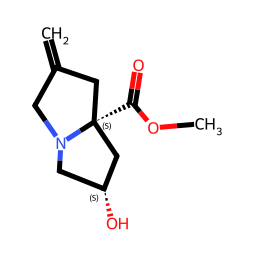 C=C1CN2C[C@@H](O)C[C@]2(C(=O)OC)C1